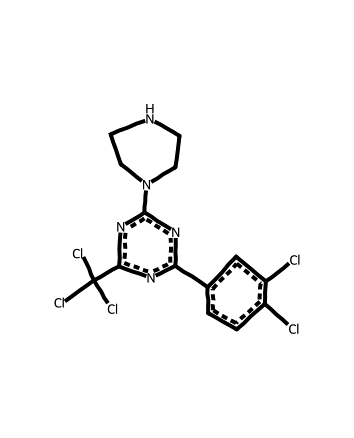 Clc1ccc(-c2nc(N3CCNCC3)nc(C(Cl)(Cl)Cl)n2)cc1Cl